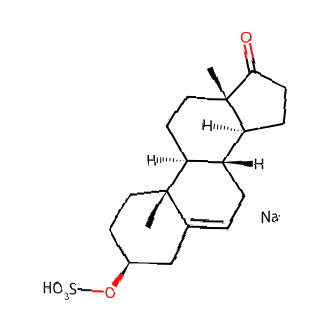 C[C@]12CC[C@H](OS(=O)(=O)O)CC1=CC[C@@H]1[C@@H]2CC[C@]2(C)C(=O)CC[C@@H]12.[Na]